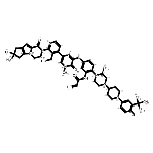 C=CC(=O)Nc1cc(Nc2nc(-c3ccnc(N4CCn5c(cc6c5CC(C)(C)C6)C4=O)c3CO)cn(C)c2=O)ccc1N1CCN(C2CCN(c3ccc(F)c(C(C)(C)C(F)(F)F)c3)CC2)C[C@@H]1C